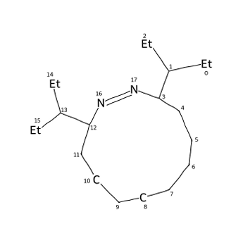 CCC(CC)C1CCCCCCCCC(C(CC)CC)N=N1